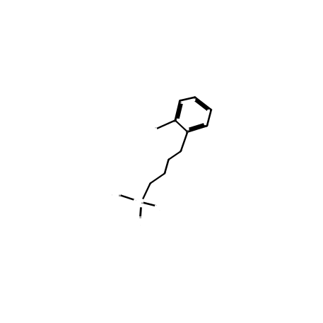 Clc1ccccc1CCCC[Si](Cl)(Cl)Cl